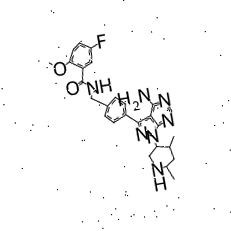 COc1ccc(F)cc1C(=O)NCc1ccc(-c2nn(C3CNC(C)CC3C)c3ncnc(N)c23)cc1